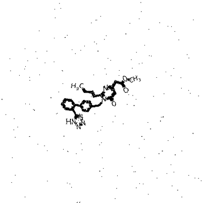 CCCCc1nc(CC(=O)OC)cc(=O)n1Cc1ccc(-c2ccccc2-c2nnn[nH]2)cc1